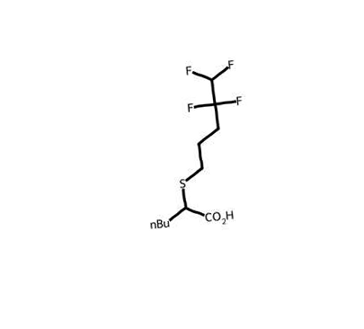 CCCCC(SCCCC(F)(F)C(F)F)C(=O)O